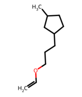 C=COCCCC1CCC(C)C1